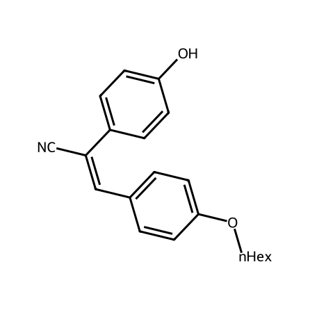 CCCCCCOc1ccc(C=C(C#N)c2ccc(O)cc2)cc1